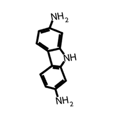 Nc1ccc2c(c1)[nH]c1cc(N)ccc12